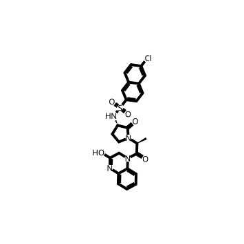 C[C@@H](C(=O)N1CC(O)=Nc2ccccc21)N1CC[C@H](NS(=O)(=O)c2ccc3cc(Cl)ccc3c2)C1=O